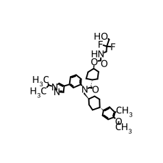 COc1ccc([C@H]2CC[C@H](CN(c3cccc(-c4cnn(C(C)C)c4)c3)C(=O)[C@H]3CC[C@H](OC(=O)NCC(F)(F)CO)CC3)CC2)cc1C